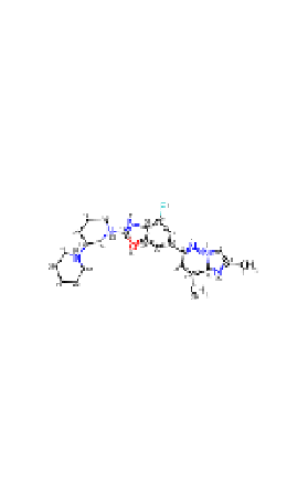 Cc1cn2nc(-c3cc(F)c4nc(N5CCCC(N6CCCCC6)C5)oc4c3)cc(C)c2n1